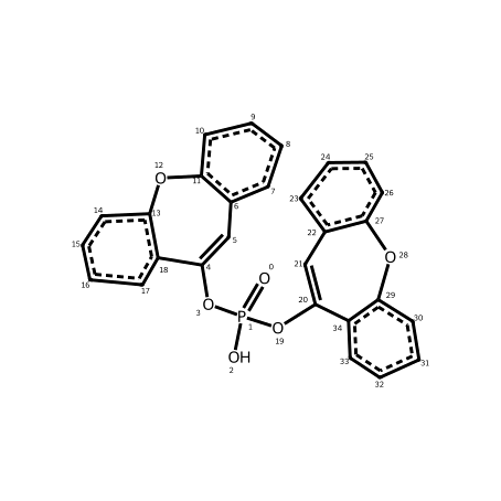 O=P(O)(OC1=Cc2ccccc2Oc2ccccc21)OC1=Cc2ccccc2Oc2ccccc21